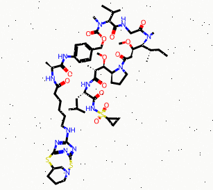 CC[C@H](C)[C@@H]([C@@H](CC(=O)N1CCC[C@H]1[C@H](OC)[C@@H](C)C(=O)N[C@@H](CC(C)C)C(=O)NS(=O)(=O)C1CC1)OC)N(C)C(=O)CNC(=O)C(C(C)C)N(C)C(=O)OCc1ccc(NC(=O)[C@H](C)NC(=O)CCCCCNc2nc3nc(n2)SN2CCCC(C2)S3)cc1